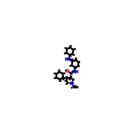 CC(C)(C)N1C[C@@H](C(=O)Nc2cccc(Nc3ccccc3)c2)[C@H](c2ccccc2)C1